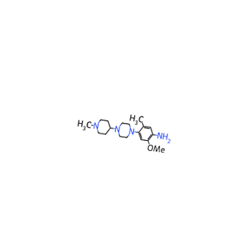 COc1cc(N2CCN(C3CCN(C)CC3)CC2)c(C)cc1N